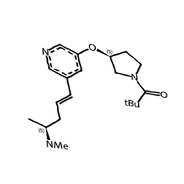 CN[C@@H](C)CC=Cc1cncc(O[C@H]2CCN(C(=O)C(C)(C)C)C2)c1